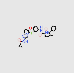 Cc1ccc(C(=O)Nc2ccc(Oc3ccc4nc(NC(=O)C5CC5)cn4c3)c(F)c2)[n+]([O-])c1-c1ccccc1